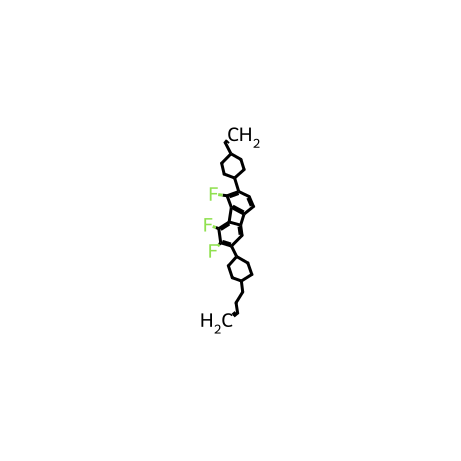 C=CCCC1CCC(c2cc3c(c(F)c2F)-c2c-3ccc(C3CCC(C=C)CC3)c2F)CC1